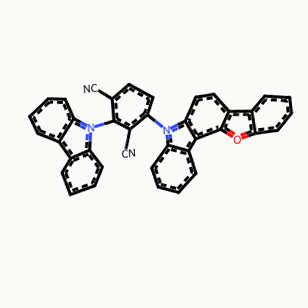 N#Cc1ccc(-n2c3ccccc3c3c4oc5ccccc5c4ccc32)c(C#N)c1-n1c2ccccc2c2ccccc21